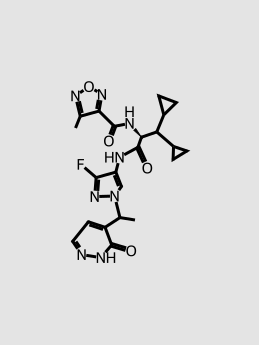 Cc1nonc1C(=O)N[C@H](C(=O)Nc1cn(C(C)c2ccn[nH]c2=O)nc1F)C(C1CC1)C1CC1